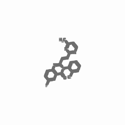 Cc1ccnc(/C=C/c2nc3ccc(F)cc3c(=O)n2-c2ccccc2Cl)n1